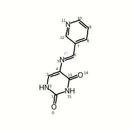 O=c1[nH]cc(/N=C/c2cccnc2)c(=O)[nH]1